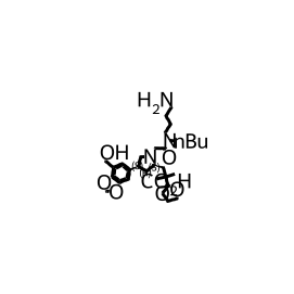 CCCCN(CCCCN)C(=O)CN1C[C@H](c2cc(CO)c3c(c2)OCO3)[C@@H](C(=O)O)[C@@H]1CC(C)(C)C1OCCO1